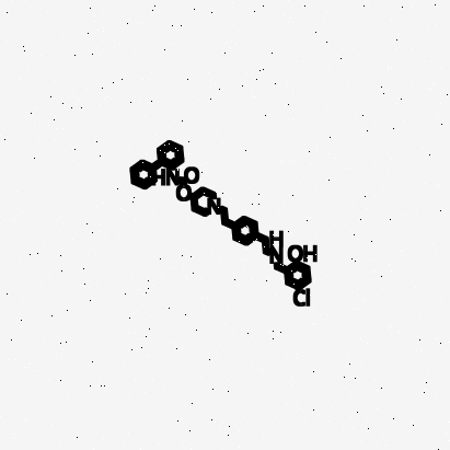 O=C(Nc1ccccc1-c1ccccc1)OC1CCN(CCc2ccc(CCNCc3cc(Cl)ccc3O)cc2)CC1